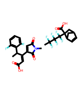 CC(C(=CC(=O)O)C1=CC(=O)N(C)C1=O)c1c(F)cccc1F.CC(F)(F)C(F)(F)C(F)(F)C1(C(=O)O)CC2C=CC1C2